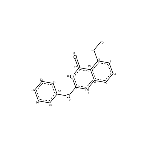 CCc1cccc2nc(Oc3ccccc3)oc(=O)c12